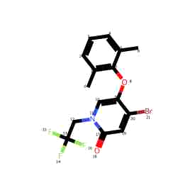 Cc1cccc(C)c1Oc1cn(CC(F)(F)F)c(=O)cc1Br